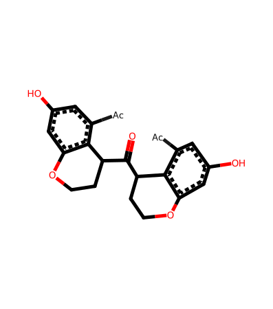 CC(=O)c1cc(O)cc2c1C(C(=O)C1CCOc3cc(O)cc(C(C)=O)c31)CCO2